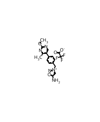 COc1ncc(-c2ccc(C[n+]3cc(N)on3)cc2)c(C)n1.O=C([O-])C(F)(F)F